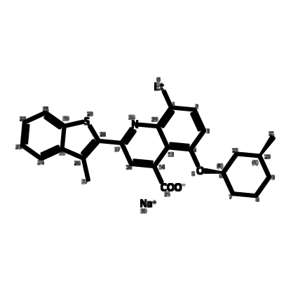 CCc1ccc(O[C@@H]2CCC[C@H](C)C2)c2c(C(=O)[O-])cc(-c3sc4ccccc4c3C)nc12.[Na+]